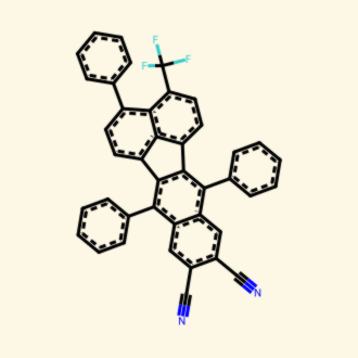 N#Cc1cc2c(-c3ccccc3)c3c(c(-c4ccccc4)c2cc1C#N)-c1ccc(C(F)(F)F)c2c(-c4ccccc4)ccc-3c12